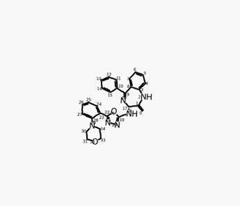 C=C1Nc2ccccc2C(c2ccccc2)=N[C@H]1Nc1nnc(-c2ccccc2N2CCOCC2)o1